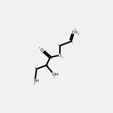 C=CCOC(=O)C(O)CS